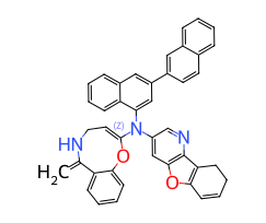 C=C1NC/C=C(/N(c2cnc3c4c(oc3c2)C=CCC4)c2cc(-c3ccc4ccccc4c3)cc3ccccc23)Oc2ccccc21